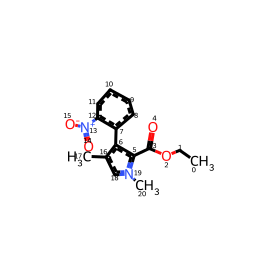 CCOC(=O)c1c(-c2ccccc2[N+](=O)[O-])c(C)cn1C